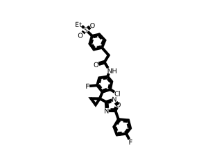 CCS(=O)(=O)c1ccc(CC(=O)Nc2cc(F)c(C3(c4noc(-c5ccc(F)cc5)n4)CC3)c(Cl)c2)cc1